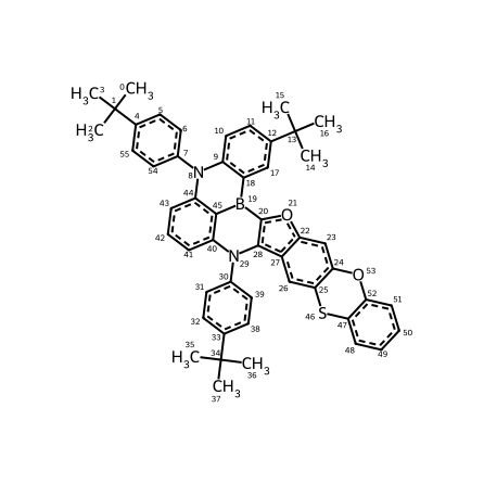 CC(C)(C)c1ccc(N2c3ccc(C(C)(C)C)cc3B3c4oc5cc6c(cc5c4N(c4ccc(C(C)(C)C)cc4)c4cccc2c43)Sc2ccccc2O6)cc1